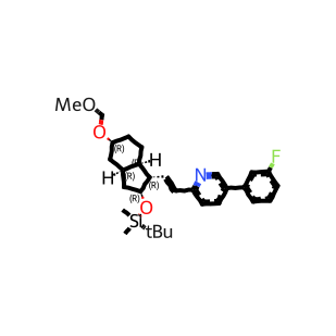 COCO[C@@H]1CC[C@@H]2[C@H](C1)C[C@@H](O[Si](C)(C)C(C)(C)C)[C@H]2C=Cc1ccc(-c2cccc(F)c2)cn1